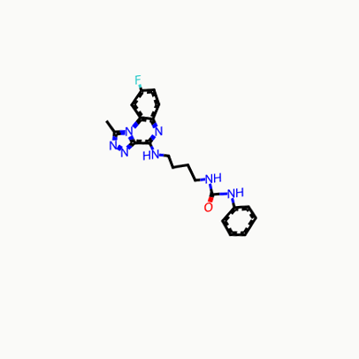 Cc1nnc2c(NCCCCNC(=O)Nc3ccccc3)nc3ccc(F)cc3n12